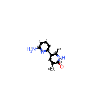 CCc1cc(-c2cccc(N)n2)c(C)[nH]c1=O